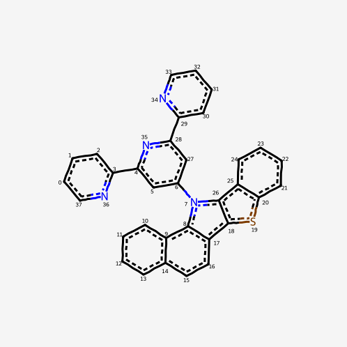 c1ccc(-c2cc(-n3c4c5ccccc5ccc4c4sc5ccccc5c43)cc(-c3ccccn3)n2)nc1